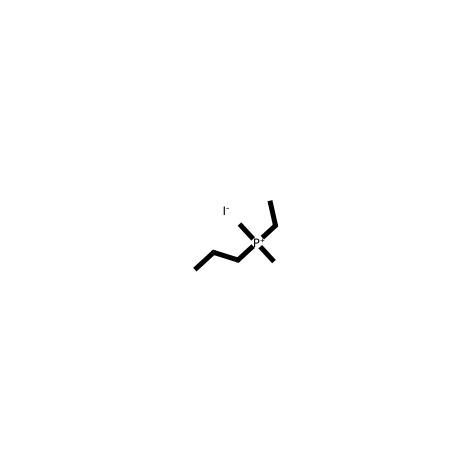 CCC[P+](C)(C)CC.[I-]